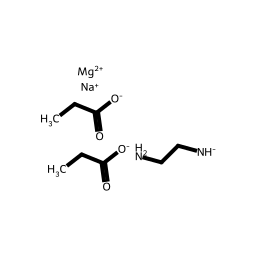 CCC(=O)[O-].CCC(=O)[O-].[Mg+2].[NH-]CCN.[Na+]